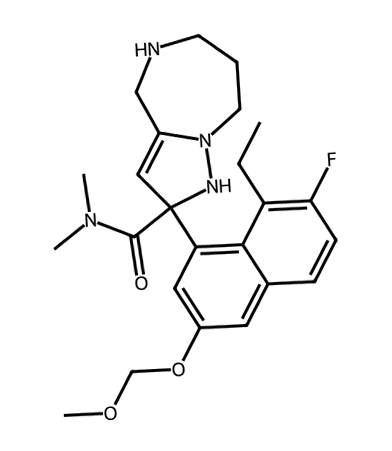 CCc1c(F)ccc2cc(OCOC)cc(C3(C(=O)N(C)C)C=C4CNCCCN4N3)c12